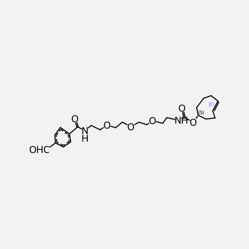 O=Cc1ccc(C(=O)NCCOCCOCCOCCNC(=O)O[C@@H]2CC/C=C/CCC2)cc1